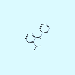 [CH2]C(C)c1ccccc1Oc1ccccc1